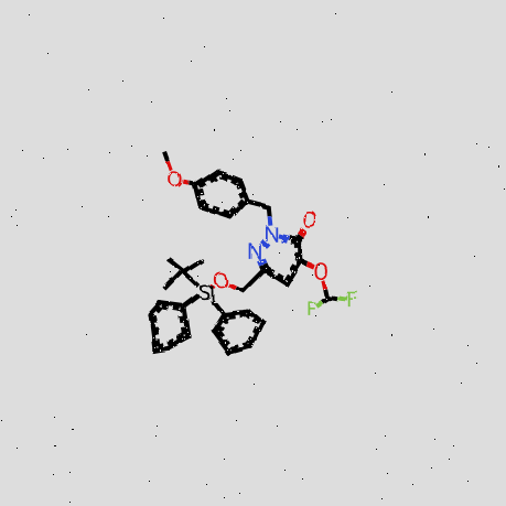 COc1ccc(Cn2nc(CO[Si](c3ccccc3)(c3ccccc3)C(C)(C)C)cc(OC(F)F)c2=O)cc1